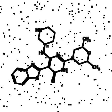 CC1CN(c2nc(N[C@@H]3CCCNC3)c(-c3nc4ccccc4s3)c(=O)[nH]2)CC(C)O1